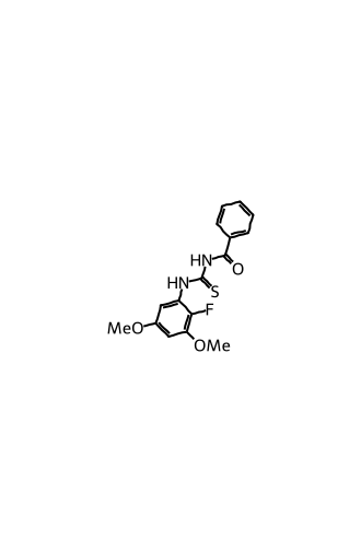 COc1cc(NC(=S)NC(=O)c2ccccc2)c(F)c(OC)c1